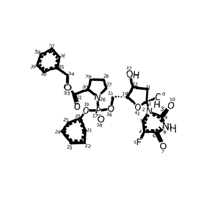 C[C@]1(n2cc(F)c(=O)[nH]c2=O)CC(O)[C@@H](COP(=O)(Oc2ccccc2)N2CCCC2C(=O)OCc2ccccc2)O1